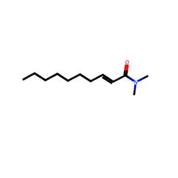 CCCCCCCC=CC(=O)N(C)C